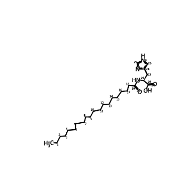 CCCCCCCCCCCCCCCCCCCC(=O)N[C@@H](Cc1c[nH]cn1)C(=O)O